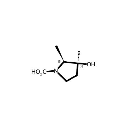 C[C@@H]1N(C(=O)O)CC[C@]1(C)O